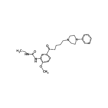 CCNC(=O)Nc1cc(C(=O)CCCCN2CCN(c3ccccc3)CC2)ccc1OC